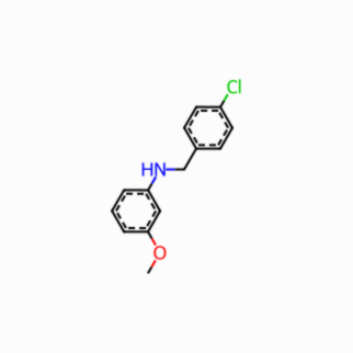 COc1cccc(NCc2ccc(Cl)cc2)c1